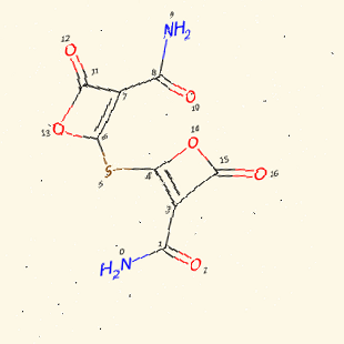 NC(=O)C1=C(SC2=C(C(N)=O)C(=O)O2)OC1=O